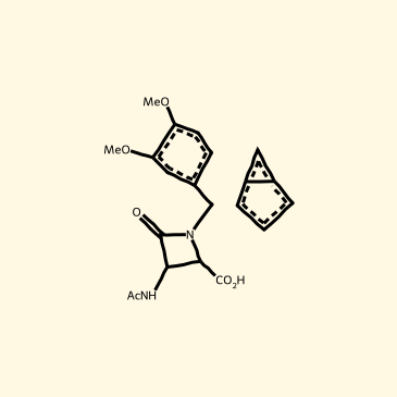 COc1ccc(CN2C(=O)C(NC(C)=O)C2C(=O)O)cc1OC.c1cc2cc-2c1